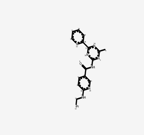 Cc1nc(NC(=O)c2ccc(NCC(C)C)nc2)nc(-c2ccccn2)n1